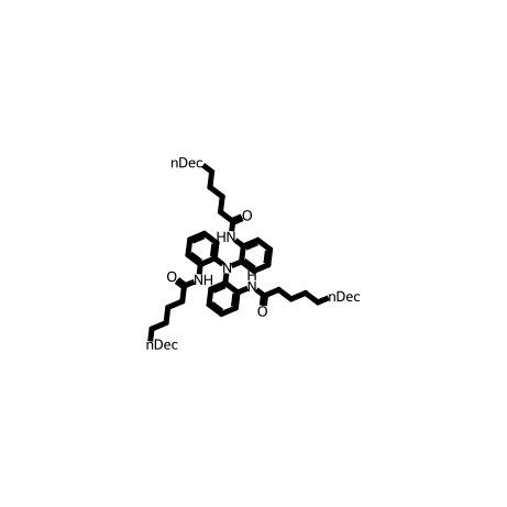 CCCCCCCCCCCCCCC(=O)Nc1ccccc1N(c1ccccc1NC(=O)CCCCCCCCCCCCCC)c1ccccc1NC(=O)CCCCCCCCCCCCCC